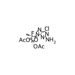 C#CC1(F)[C@@H](OC(C)=O)[C@@H](COC(C)=O)O[C@H]1n1cnc2c(Cl)nc(N)nc21